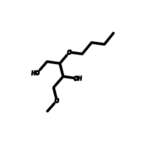 CCCCOC(CO)C(O)COC